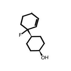 O[C@H]1CC[C@@H](C2(F)C=C[CH]CC2)CC1